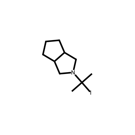 CC(C)(I)N1CC2CCCC2C1